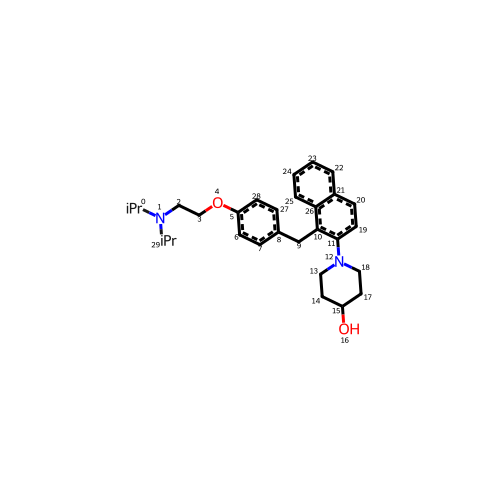 CC(C)N(CCOc1ccc(Cc2c(N3CCC(O)CC3)ccc3ccccc23)cc1)C(C)C